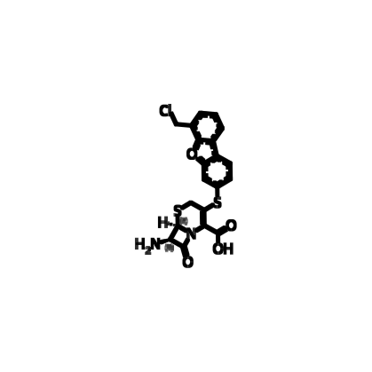 N[C@@H]1C(=O)N2C(C(=O)O)=C(Sc3ccc4c(c3)oc3c(CCl)cccc34)CS[C@H]12